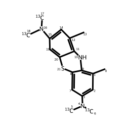 Cc1cc(N([13CH3])[13CH3])cc2c1Nc1c(C)cc(N([13CH3])[13CH3])cc1S2